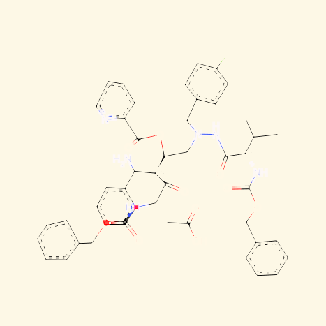 CC(C)[C@H](NC(=O)OCc1ccccc1)C(=O)NN(Cc1ccc(F)cc1)CC(OC(=O)c1ccccn1)[C@@H](C(=O)[C@H](CC(=O)O)NC(=O)OCc1ccccc1)C(N)c1ccccc1